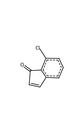 O=C1C=Cc2cccc(Cl)c21